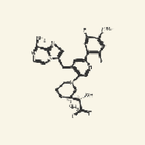 COc1cc(F)c(-c2cc(Cc3cnc4c(N)nccn34)c(N3CCC[C@](N)([C@H](O)C(F)F)C3)cn2)cc1F